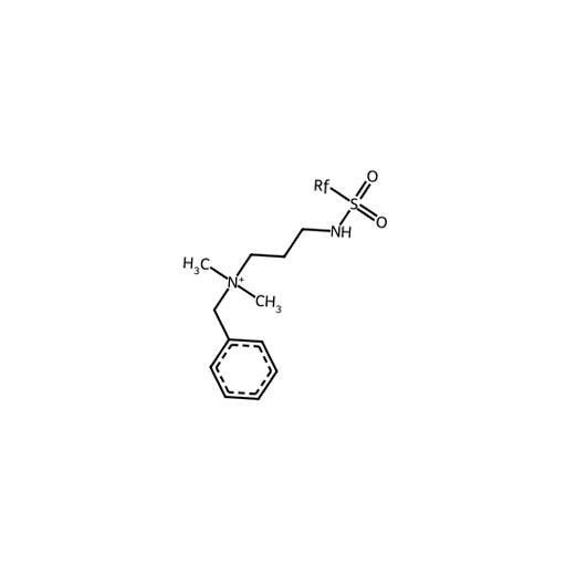 C[N+](C)(CCCN[S](=O)(=O)[Rf])Cc1ccccc1